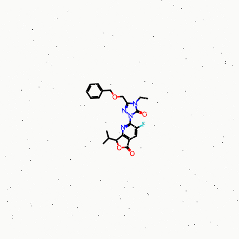 CCn1c(COCc2ccccc2)nn(-c2nc3c(cc2F)C(=O)OC3C(C)C)c1=O